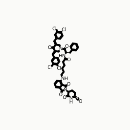 O=C=C1CCC(N2C(=O)c3cccc(NCCCCCC(=O)N[C@H](Cc4ccccc4)C(=O)N4C/C(=C\c5ccc(Cl)c(Cl)c5)C(=O)/C(=C/c5ccc(Cl)c(Cl)c5)C4)c3C2=O)C(=O)N1